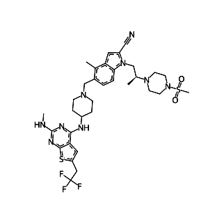 CNc1nc(NC2CCN(Cc3ccc4c(cc(C#N)n4C[C@H](C)N4CCN(S(C)(=O)=O)CC4)c3C)CC2)c2cc(CC(F)(F)F)sc2n1